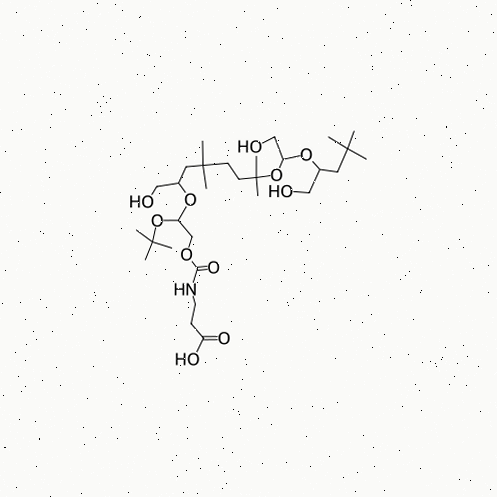 CC(C)(C)CC(CO)OC(CO)OC(C)(C)CCC(C)(C)CC(CO)OC(COC(=O)NCCC(=O)O)OC(C)(C)C